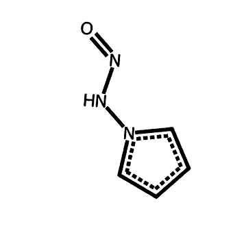 O=NNn1cccc1